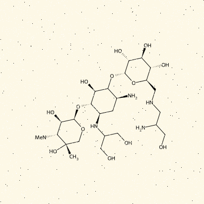 CN[C@@H]1[C@@H](O)[C@@H](O[C@H]2[C@H](NC(CO)CO)C[C@H](N)C(O[C@H]3O[C@H](CNCC(N)CO)[C@@H](O)[C@H](O)[C@H]3O)[C@@H]2O)OC[C@]1(C)O